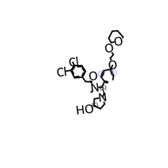 C=C(/C=C\C(=C/C)OCCOC1CCCCO1)[C@@H](CN1CC[C@H](O)C1)N(C)C(=O)Cc1ccc(Cl)c(Cl)c1